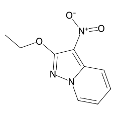 CCOc1nn2ccccc2c1[N+](=O)[O-]